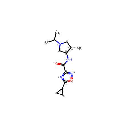 CC(C)N1C[C@H](NC(=O)c2noc(C3CC3)n2)[C@@H](C)C1